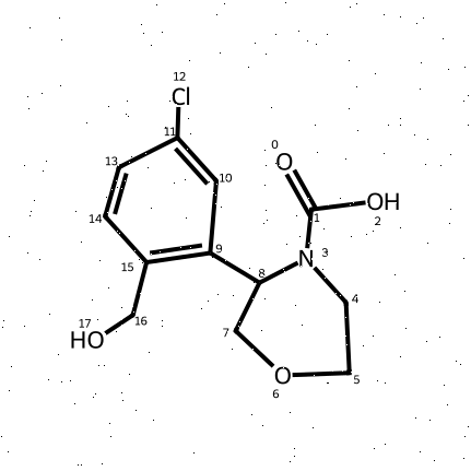 O=C(O)N1CCOCC1c1cc(Cl)ccc1CO